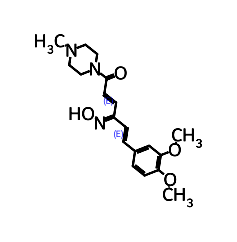 COc1ccc(/C=C/C(/C=C/C(=O)N2CCN(C)CC2)=NO)cc1OC